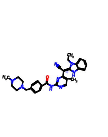 CCN1/C(=C(\C#N)c2nc(NC(=O)c3ccc(CN4CCN(C)CC4)cc3)ncc2C)Nc2ccccc21